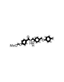 COCOc1ccc(C(=O)NCC2(O)CCC(COc3ccc(F)cc3)CC2)cc1